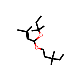 CCC(C)(C)CCOC(C=C(C)C)OC(C)(C)CC